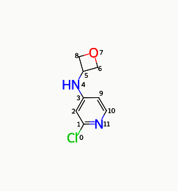 Clc1cc(NC2COC2)ccn1